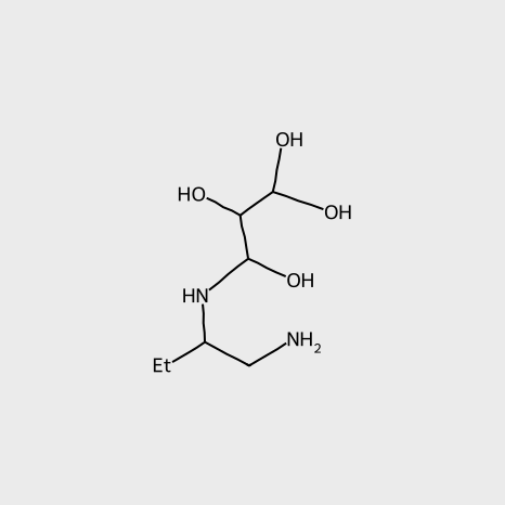 CCC(CN)NC(O)C(O)C(O)O